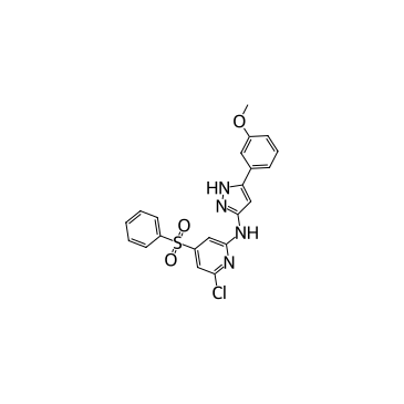 COc1cccc(-c2cc(Nc3cc(S(=O)(=O)c4ccccc4)cc(Cl)n3)n[nH]2)c1